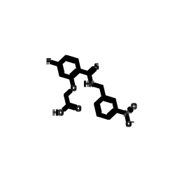 O=C(O)COc1cc(F)ccc1C(=S)NCc1cccc([N+](=O)[O-])c1